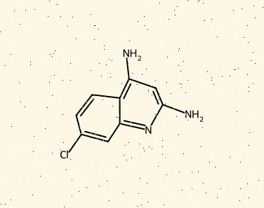 Nc1cc(N)c2ccc(Cl)cc2n1